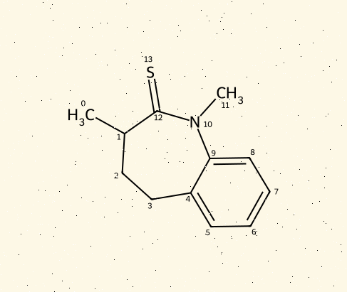 CC1CCc2ccccc2N(C)C1=S